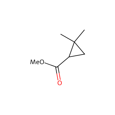 COC(=O)C1CC1(C)C